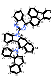 c1ccc2c(c1)-c1cccc3c(-c4nc(-n5c6ccccc6c6c(-n7c8ccccc8c8c9ccccc9ccc87)c7ccccc7cc65)nc5ccccc45)ccc-2c13